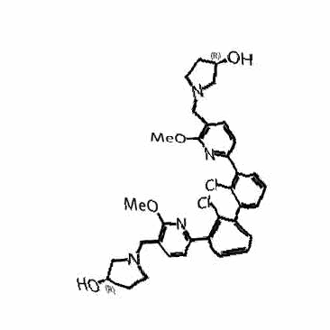 COc1nc(-c2cccc(-c3cccc(-c4ccc(CN5CC[C@@H](O)C5)c(OC)n4)c3Cl)c2Cl)ccc1CN1CC[C@@H](O)C1